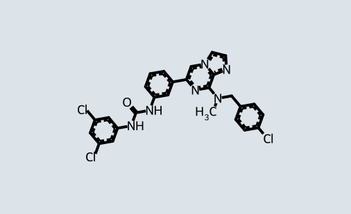 CN(Cc1ccc(Cl)cc1)c1nc(-c2cccc(NC(=O)Nc3cc(Cl)cc(Cl)c3)c2)cn2ccnc12